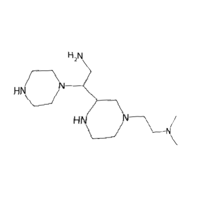 CN(C)CCN1CCNC(C(CN)N2CCNCC2)C1